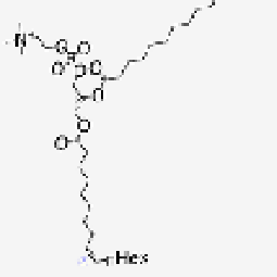 CCCCCC/C=C\CCCCCCCC(=O)OC[C@H](COP(=O)([O-])OCC[N+](C)(C)C)OC(=O)CCCCCCCCCCCCCCCCCCCC